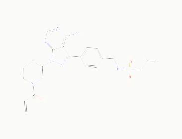 C=CC(=O)N1CCCC(n2nc(-c3ccc(CNS(=O)(=O)CC(C)F)cc3)c3c(N)ncnc32)C1